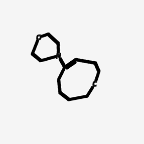 C1=C(/N2CCOCC2)CCCCCCC/1